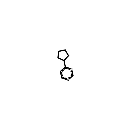 [CH]1CCCC1c1ccncn1